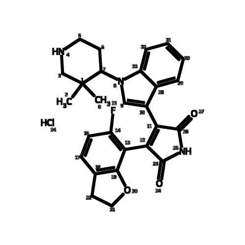 CC1(C)CNCCC1n1cc(C2=C(c3c(F)ccc4c3OCC4)C(=O)NC2=O)c2ccccc21.Cl